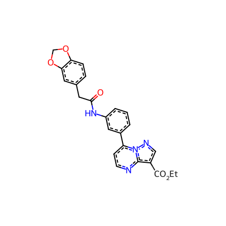 CCOC(=O)c1cnn2c(-c3cccc(NC(=O)Cc4ccc5c(c4)OCO5)c3)ccnc12